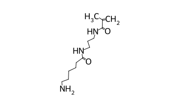 C=C(C)C(=O)NCCCNC(=O)CCCCCN